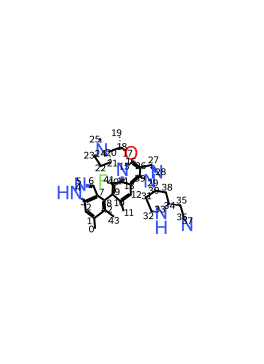 Cc1cc2[nH]ncc2c(-c2c(C)cc3c(nc(O[C@@H](C)[C@@H]4CCCN4C)c4cnn([C@H]5CCN[C@H](CC#N)C5)c43)c2F)c1C